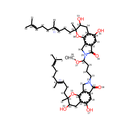 CC(C)=CCC/C(C)=C/CCC1(C)Oc2c(c(O)cc3c2CN(CCCC(OC=O)N2Cc4c(cc(O)c5c4OC(C)(CC/C=C(\C)CCC=C(C)C)C(O)C5)C2=O)C3=O)CC1O